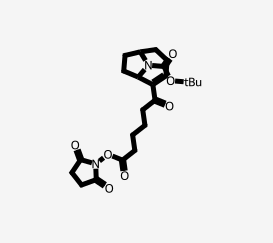 CC(C)(C)OC(=O)N1C2CCC=C(C(=O)CCCCC(=O)ON3C(=O)CCC3=O)C1CC2